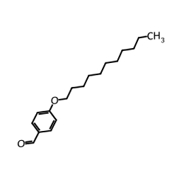 CCCCCCCCCCCOc1ccc(C=O)cc1